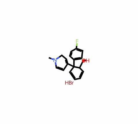 Br.CCC1C=CC=CC1(C1=CCN(C)C=C1)c1ccc(F)cc1O